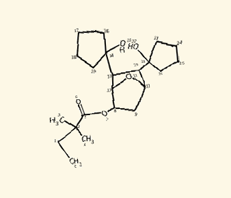 CCC(C)(C)C(=O)OC1CC2OC1C(C1(O)CCCC1)C2C1(O)CCCC1